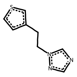 c1ncn(CCc2ccsc2)n1